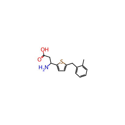 Cc1ccccc1Cc1ccc(C(N)CC(=O)O)s1